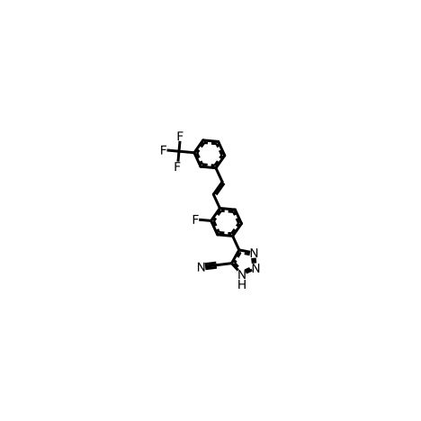 N#Cc1[nH]nnc1-c1ccc(/C=C/c2cccc(C(F)(F)F)c2)c(F)c1